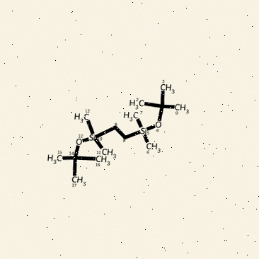 CC(C)(C)O[Si](C)(C)CC[Si](C)(C)OC(C)(C)C